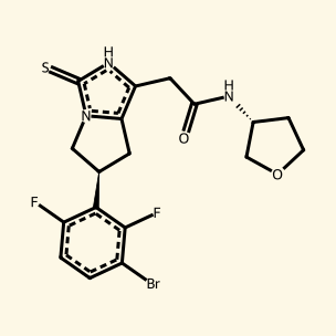 O=C(Cc1[nH]c(=S)n2c1C[C@@H](c1c(F)ccc(Br)c1F)C2)N[C@@H]1CCOC1